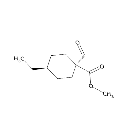 CC[C@H]1CC[C@@](C=O)(C(=O)OC)CC1